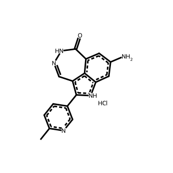 Cc1ccc(-c2[nH]c3cc(N)cc4c3c2C=NNC4=O)cn1.Cl